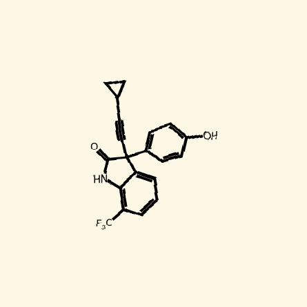 O=C1Nc2c(C(F)(F)F)cccc2C1(C#CC1CC1)c1ccc(O)cc1